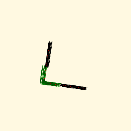 F.F.F.F.F.F.F.F.F.F.F.F.F.F.F.F.F.F.F.F.F.F.F.F.F.F.F.F.F.F.F.F.F.F.F.F.F.F.F.F.[Ar].[Ar].[Ar].[Ar].[Ar].[Ar].[Ar].[Ar].[Ar].[Ar].[Ar].[Ar].[Ar].[Ar].[Ar].[Ar].[Ar].[Ar].[Ar].[Ar].[Ar].[Ar].[Ar].[Ar].[Ar].[Ar].[Ar].[Ar].[Ar].[Ar].[Ar].[Ar].[Ar].[Ar].[Ar].[Ar].[Ar].[Ar].[Ar].[Ar].[Ar].[Ar].[Ar].[Ar].[Ar].[Ar].[Ar].[Ar].[Ar].[Ar].[Ar].[Ar].[Ar].[Ar].[Ar].[Ar].[Ar].[Ar].[Ar].[Ar]